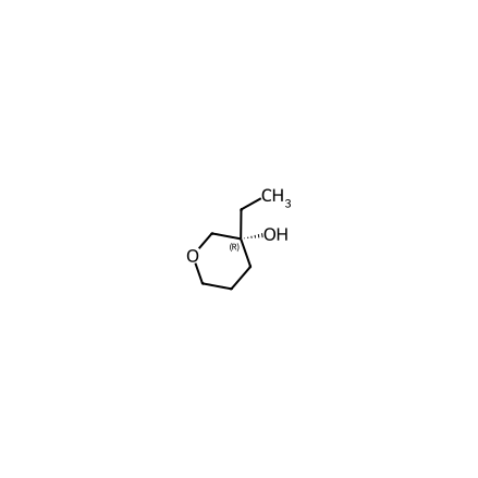 CC[C@@]1(O)CCCOC1